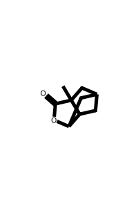 CC12CC3CC(OC1=O)C2C3